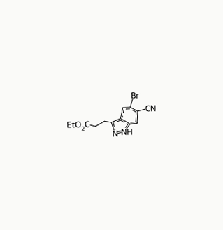 CCOC(=O)CCc1n[nH]c2cc(C#N)c(Br)cc12